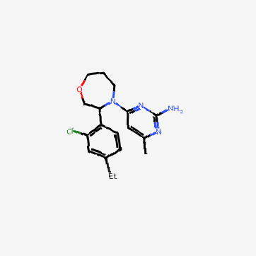 CCc1ccc(C2COCCCN2c2cc(C)nc(N)n2)c(Cl)c1